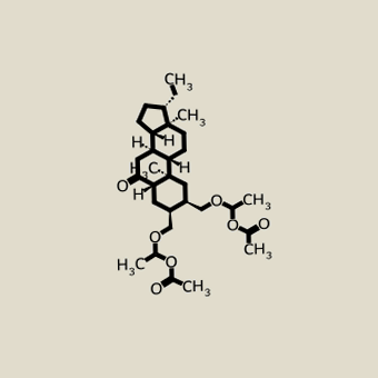 CC[C@H]1CC[C@H]2[C@@H]3CC(=O)[C@H]4C[C@H](COC(C)OC(C)=O)[C@H](COC(C)OC(C)=O)C[C@]4(C)[C@H]3CC[C@]12C